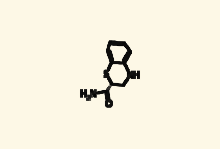 NC(=O)[C@H]1CNc2ccccc2S1